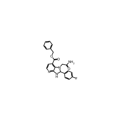 NC(=O)CN1c2c(C(=O)OCc3ccccc3)ccnc2NC1c1ccc(F)cc1